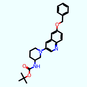 CC(C)(C)OC(=O)NC1CCCN(c2cnc3ccc(OCc4ccccc4)cc3c2)C1